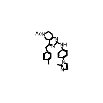 CC(=O)N1CCc2nc(Nc3ccc(-n4ccnc4C)cc3)nc(Cc3ccc(C)cc3)c2C1